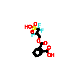 O=C(O)C1C2C=CC(C2)C1C(=O)OCC(F)C(F)(F)S(=O)(=O)O